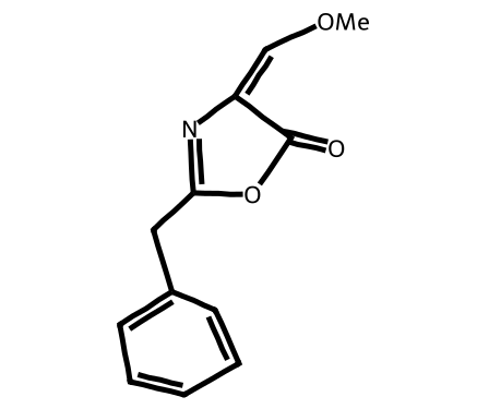 COC=C1N=C(Cc2ccccc2)OC1=O